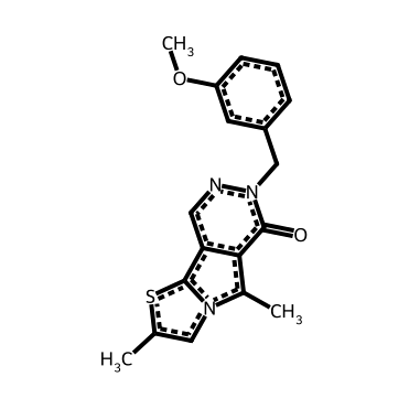 COc1cccc(Cn2ncc3c(c(C)n4cc(C)sc34)c2=O)c1